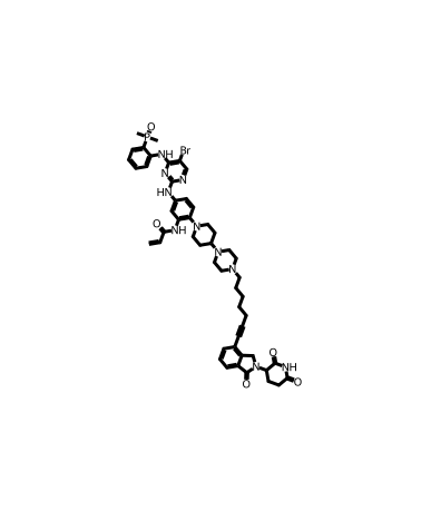 C=CC(=O)Nc1cc(Nc2ncc(Br)c(Nc3ccccc3P(C)(C)=O)n2)ccc1N1CCC(N2CCN(CCCCCC#Cc3cccc4c3CN(C3CCC(=O)NC3=O)C4=O)CC2)CC1